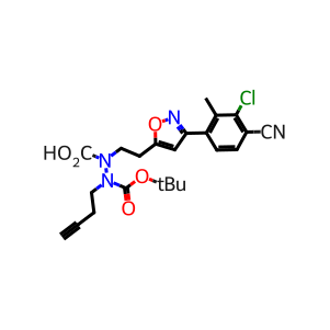 C#CCCN(C(=O)OC(C)(C)C)N(CCc1cc(-c2ccc(C#N)c(Cl)c2C)no1)C(=O)O